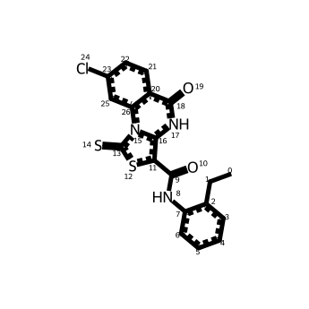 CCc1ccccc1NC(=O)c1sc(=S)n2c1[nH]c(=O)c1ccc(Cl)cc12